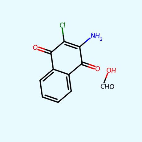 NC1=C(Cl)C(=O)c2ccccc2C1=O.O=CO